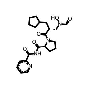 O=CN(O)C[C@@H](CC1CCCC1)C(=O)N1CCC[C@H]1C(=O)NC(=O)c1ccccn1